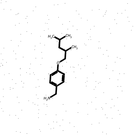 CC(C)CC(C)COc1ccc(CN)cc1